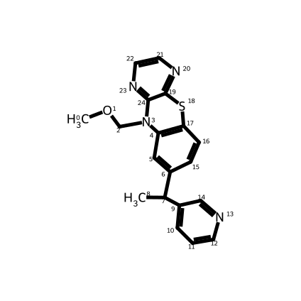 COCN1c2cc(C(C)c3cccnc3)ccc2Sc2nccnc21